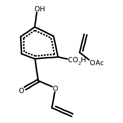 C=COC(=O)c1ccc(O)cc1C(=O)O.C=COC(C)=O